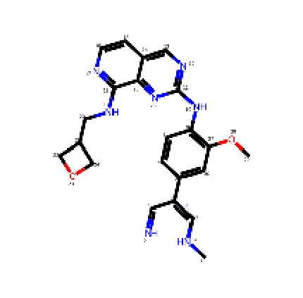 CN/C=C(\C=N)c1ccc(Nc2ncc3ccnc(NCC4COC4)c3n2)c(OC)c1